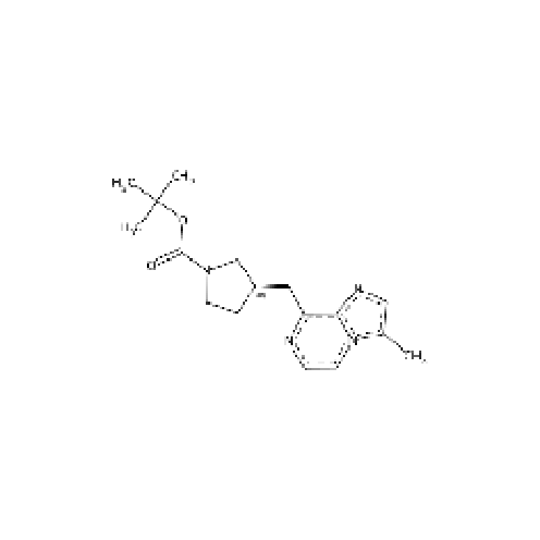 Cc1cnc2c(C[C@H]3CCN(C(=O)OC(C)(C)C)C3)nccn12